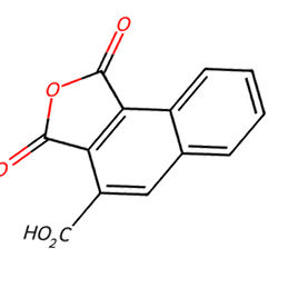 O=C(O)c1cc2ccccc2c2c1C(=O)OC2=O